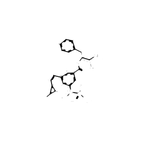 CCCC[C@H](N)[C@H](Cc1ccccc1)NC(=O)c1cc(/C=C\C2CC2C)cc(N(CCC)S(C)(=O)=O)c1